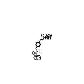 O=C(C=Cc1ccc(CNC(=O)C23CC4CC(CC(C4)C2)C3)cc1)NO